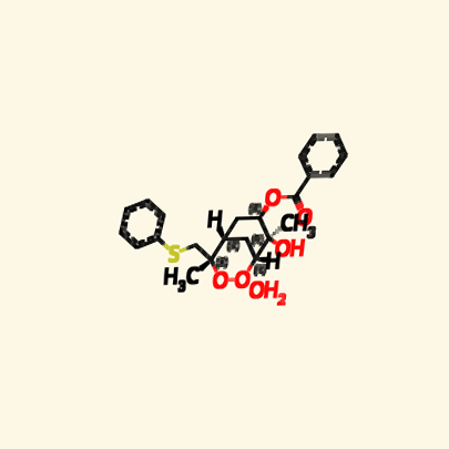 C[C@]1(O)[C@H]2C[C@@H](C[C@H]1OC(=O)c1ccccc1)[C@@](C)(CSc1ccccc1)OO2.O